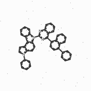 c1ccc(-c2ccc(-c3nc(-n4c5ccccc5c5c6ccn(-c7ccccc7)c6ccc54)nc4ccccc34)c3ccccc23)cc1